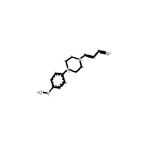 COc1ccc(N2CCN(C=CC=O)CC2)cc1